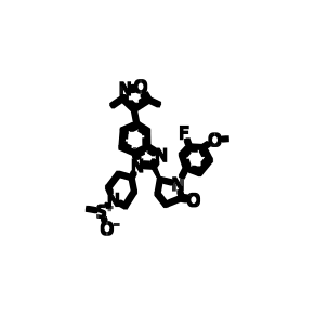 COc1ccc(N2C(=O)CC[C@H]2c2nc3cc(-c4c(C)noc4C)ccc3n2C2CCN([S+](C)[O-])CC2)cc1F